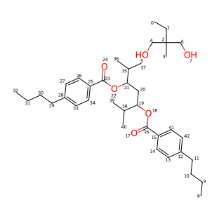 CCC(C)(CO)CO.CCCCc1ccc(C(=O)OC(CC(OC(=O)c2ccc(CCCC)cc2)C(C)C)C(C)C)cc1